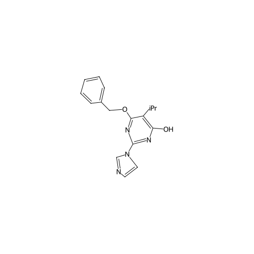 CC(C)c1c(O)nc(-n2ccnc2)nc1OCc1ccccc1